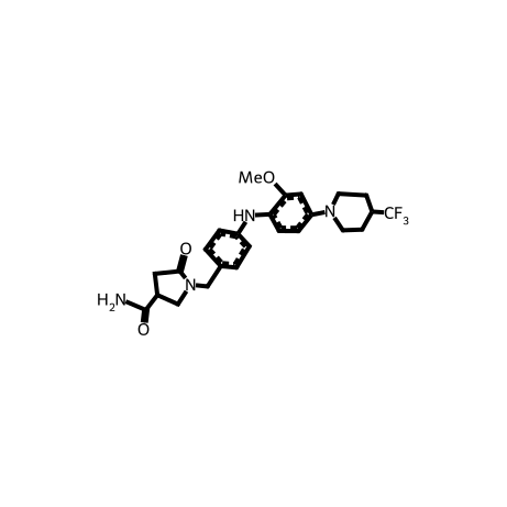 COc1cc(N2CCC(C(F)(F)F)CC2)ccc1Nc1ccc(CN2CC(C(N)=O)CC2=O)cc1